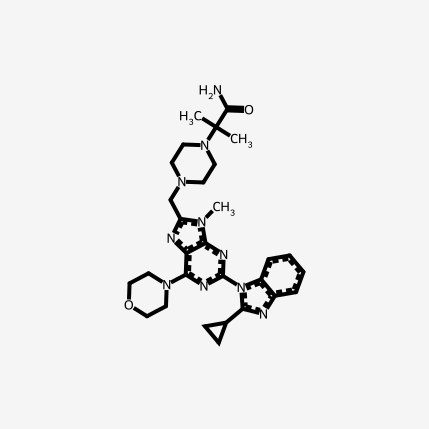 Cn1c(CN2CCN(C(C)(C)C(N)=O)CC2)nc2c(N3CCOCC3)nc(-n3c(C4CC4)nc4ccccc43)nc21